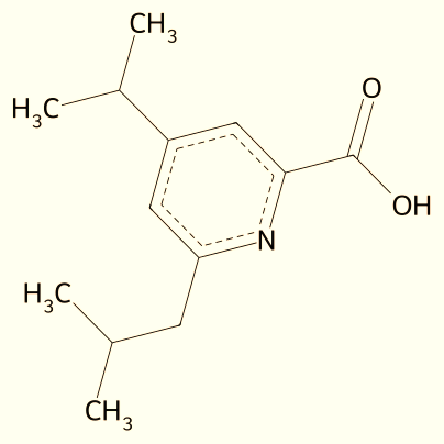 CC(C)Cc1cc(C(C)C)cc(C(=O)O)n1